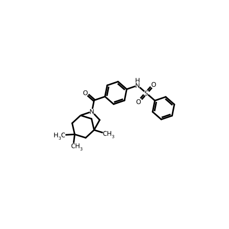 CC1(C)CC2CC(C)(CN2C(=O)c2ccc(NS(=O)(=O)c3ccccc3)cc2)C1